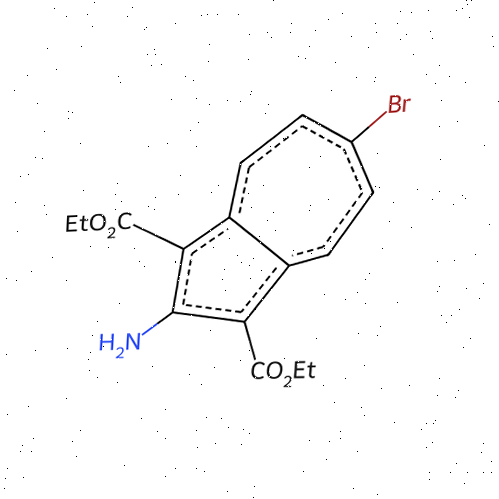 CCOC(=O)c1c2ccc(Br)ccc-2c(C(=O)OCC)c1N